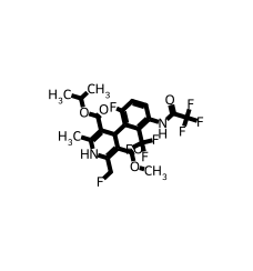 COC(=O)C1=C(CF)NC(C)=C(C(=O)OC(C)C)C1c1c(F)ccc(NC(=O)C(F)(F)F)c1C(F)(F)F